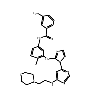 Cc1ccc(NC(=O)c2cccc(C(F)(F)F)c2)cc1Nc1ncnn1-c1cc(NCCN2CCOCC2)ncn1